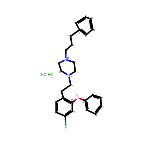 Cl.Cl.Clc1ccc(CCN2CCN(CCCc3ccccc3)CC2)c(Oc2ccccc2)c1